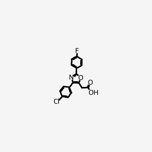 O=C(O)Cc1oc(-c2ccc(F)cc2)nc1-c1ccc(Cl)cc1